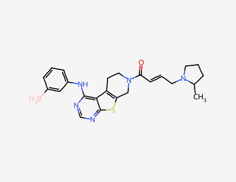 Bc1cccc(Nc2ncnc3sc4c(c23)CCN(C(=O)/C=C/CN2CCCC2C)C4)c1